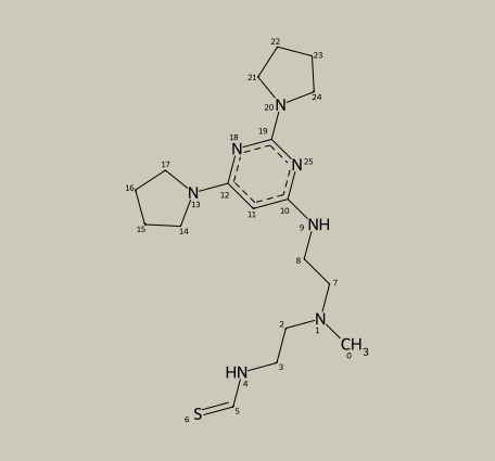 CN(CCNC=S)CCNc1cc(N2CCCC2)nc(N2CCCC2)n1